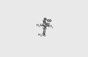 C=CC(=O)Nc1cc(Nc2cc(N3OCCC3c3ccc4ccccc4c3)ncn2)c(OC)cc1N1CCC(N2CCN(C(C)=O)CC2)CC1